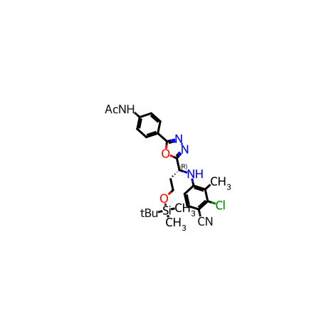 CC(=O)Nc1ccc(-c2nnc([C@@H](CCO[Si](C)(C)C(C)(C)C)Nc3ccc(C#N)c(Cl)c3C)o2)cc1